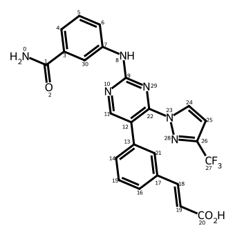 NC(=O)c1cccc(Nc2ncc(-c3cccc(C=CC(=O)O)c3)c(-n3ccc(C(F)(F)F)n3)n2)c1